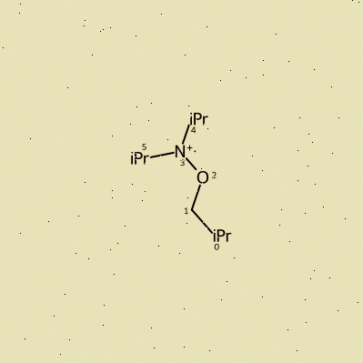 CC(C)CO[N+](C(C)C)C(C)C